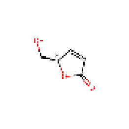 O=C1C=C[C@H](CO)O1